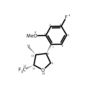 COc1cc(F)ccc1[C@@H]1CO[C@H](C(F)(F)F)[C@@H]1C